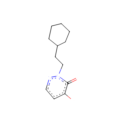 O=c1c(O)ccnn1CCC1CCCCC1